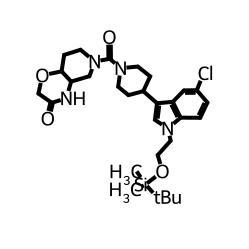 CC(C)(C)[Si](C)(C)OCCn1cc(C2CCN(C(=O)N3CCC4OCC(=O)NC4C3)CC2)c2cc(Cl)ccc21